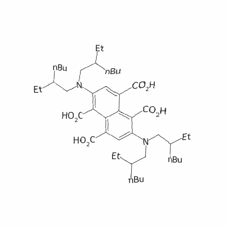 CCCCC(CC)CN(CC(CC)CCCC)c1cc(C(=O)O)c2c(C(=O)O)c(N(CC(CC)CCCC)CC(CC)CCCC)cc(C(=O)O)c2c1C(=O)O